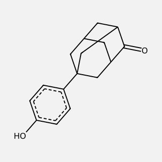 O=C1C2CC3CC1CC(c1ccc(O)cc1)(C3)C2